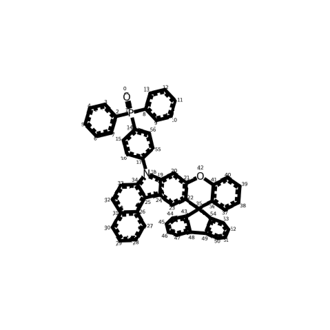 O=P(c1ccccc1)(c1ccccc1)c1ccc(-n2c3cc4c(cc3c3c5ccccc5ccc32)C2(c3ccccc3O4)c3ccccc3-c3ccccc32)cc1